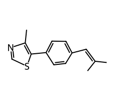 CC(C)=Cc1ccc(-c2scnc2C)cc1